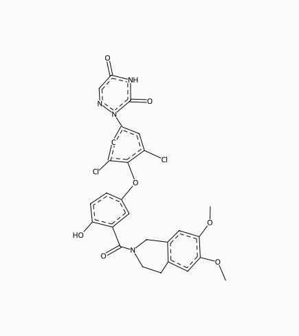 COc1cc2c(cc1OC)CN(C(=O)c1cc(Oc3c(Cl)cc(-n4ncc(=O)[nH]c4=O)cc3Cl)ccc1O)CC2